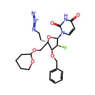 [N-]=[N+]=NCC[C@]1(COC2CCCCO2)O[C@@H](n2ccc(=O)[nH]c2=O)[C@@H](F)[C@H]1OCc1ccccc1